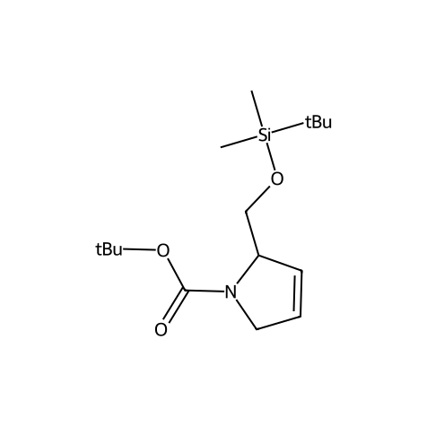 CC(C)(C)OC(=O)N1CC=CC1CO[Si](C)(C)C(C)(C)C